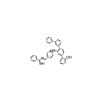 N=C(/N=C/c1ccc(Nc2cc(-c3ccccc3O)ccc2-c2cccc(-c3ccccc3)c2)cc1)c1ccccc1